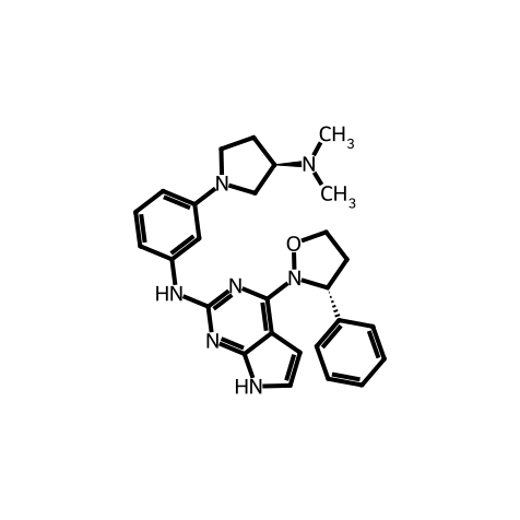 CN(C)[C@@H]1CCN(c2cccc(Nc3nc(N4OCC[C@@H]4c4ccccc4)c4cc[nH]c4n3)c2)C1